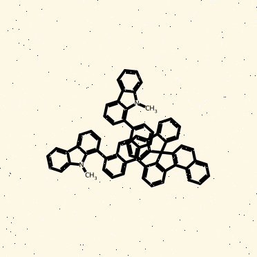 Cn1c2ccccc2c2cccc(-c3cccc4c(-c5cccc6c5C5(c7ccccc7-c7ccccc75)c5ccc7ccccc7c5-6)c5cccc(-c6cccc7c8ccccc8n(C)c67)c5cc34)c21